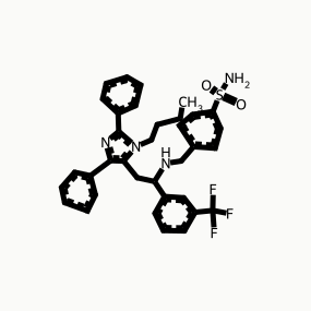 CCCCn1c(-c2ccccc2)nc(-c2ccccc2)c1CC(NCc1ccc(S(N)(=O)=O)cc1)c1cccc(C(F)(F)F)c1